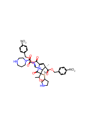 CC(O)C1(SC2CCNC2)C(=O)[N+]2(C=NC(=O)OCc3ccc([N+](=O)[O-])cc3)C(C(=O)OC(=O)N3CCCNCC3)=C[C@@](C)(C(=O)OCc3ccc([N+](=O)[O-])cc3)[C@@H]12